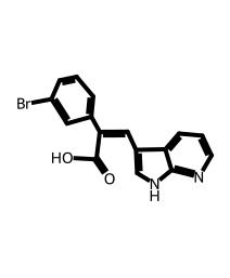 O=C(O)/C(=C\c1c[nH]c2ncccc12)c1cccc(Br)c1